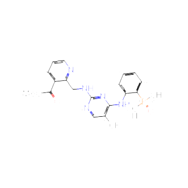 COC(=O)c1cccnc1CNc1ncc(C(F)(F)F)c(Nc2ccccc2P(C)(C)=O)n1